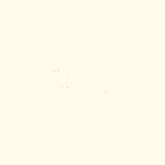 C=CC(=O)OC(C)C(O)(O)CC